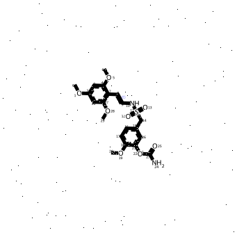 COc1cc(OC)c(/C=C/NS(=O)(=O)Cc2ccc(OC)c(OC(N)=O)c2)c(OC)c1